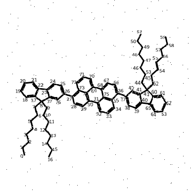 CCCCCCCCC1(CCCCCCCC)c2ccccc2-c2ccc(-c3ccc4c5cccc6c(-c7ccc8c(c7)C(CCCCCCCC)(CCCCCCCC)c7ccccc7-8)ccc(c7cccc3c74)c65)cc21